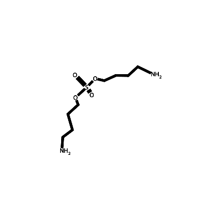 NCCCCOS(=O)(=O)OCCCCN